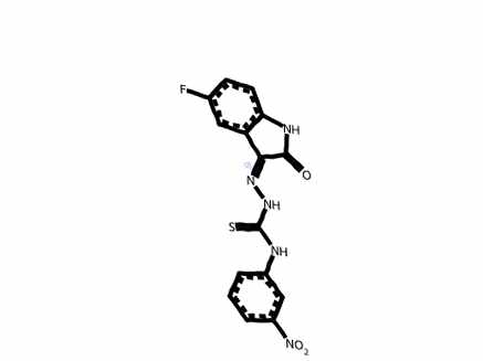 O=C1Nc2ccc(F)cc2/C1=N/NC(=S)Nc1cccc([N+](=O)[O-])c1